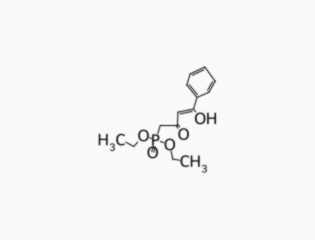 CCOP(=O)(CC(=O)/C=C(\O)c1ccccc1)OCC